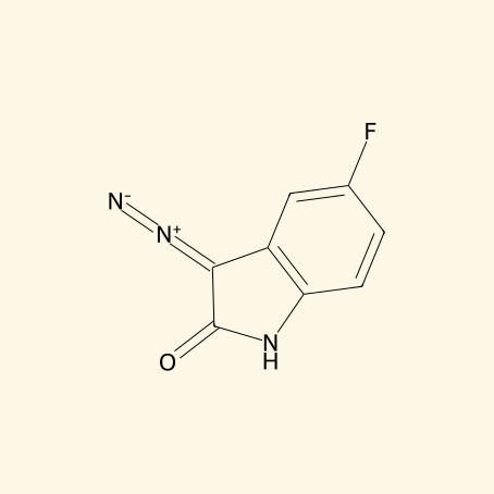 [N-]=[N+]=C1C(=O)Nc2ccc(F)cc21